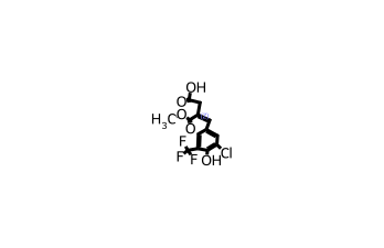 COC(=O)/C(=C\c1cc(Cl)c(O)c(C(F)(F)F)c1)CC(=O)O